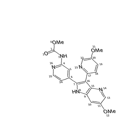 COC(=O)Nc1cc(-c2[nH]c3cc(OC)cnc3c2-c2ccc(OC)cn2)ccn1